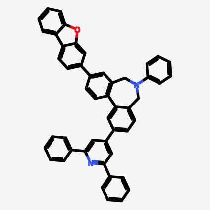 c1ccc(-c2cc(-c3ccc4c(c3)-c3ccc(-c5ccc6c(c5)oc5ccccc56)cc3CN(c3ccccc3)C4)cc(-c3ccccc3)n2)cc1